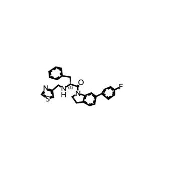 O=C([C@H](Cc1ccccc1)NCc1cscn1)N1CCc2ccc(-c3ccc(F)cc3)cc21